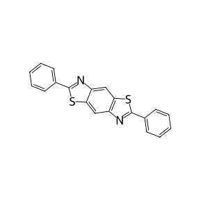 c1ccc(-c2nc3cc4sc(-c5ccccc5)nc4cc3s2)cc1